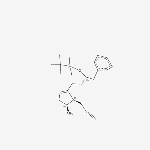 C=CC[C@@H]1C(CC[C@@H](Cc2ccccc2)O[Si](C)(C)C(C)(C)C)=CC[C@@H]1O